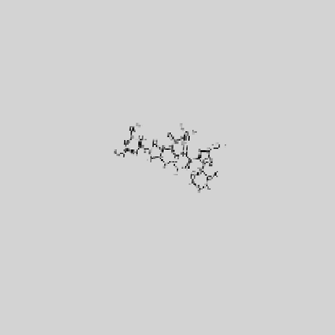 COc1cc(C(=O)Nc2c(C)cc3cn(-c4nc(OC)nc(OC)n4)nc3c2C(=O)NC(C)C)n(-c2ncccc2Cl)n1